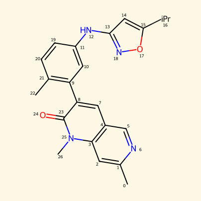 Cc1cc2c(cn1)cc(-c1cc(Nc3cc(C(C)C)on3)ccc1C)c(=O)n2C